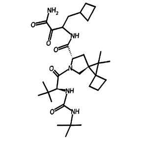 CC(C)(C)NC(=O)N[C@H](C(=O)N1C[C@@]2(C[C@H]1C(=O)NC(CC1CCC1)C(=O)C(N)=O)C(C)(C)C21CCC1)C(C)(C)C